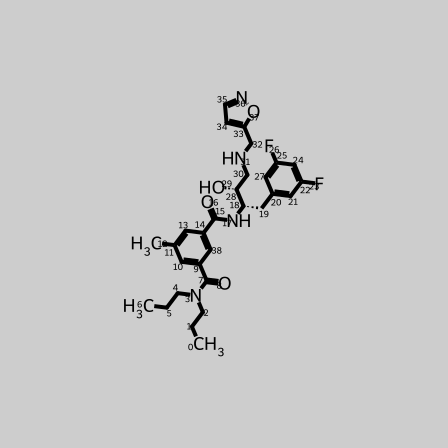 CCCN(CCC)C(=O)c1cc(C)cc(C(=O)N[C@@H](Cc2cc(F)cc(F)c2)[C@H](O)CNCc2ccno2)c1